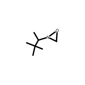 CC(N1[CH]O1)C(C)(C)C